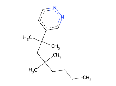 CCCCC(C)(C)CC(C)(C)c1ccnnc1